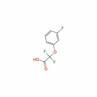 O=C(O)C(F)(F)Oc1cccc(F)c1